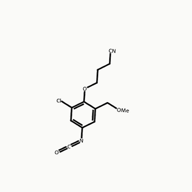 COCc1cc(N=C=O)cc(Cl)c1OCCCC#N